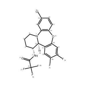 O=C(N[C@@H]1CCCN2c3cc(Cl)ccc3Oc3cc(F)c(F)cc3[C@@H]12)C(F)(F)F